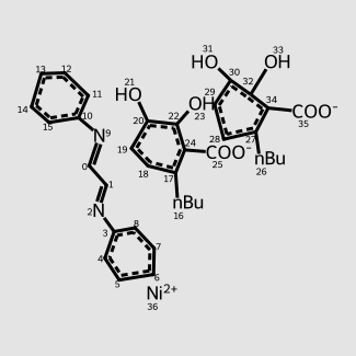 C(C=Nc1ccccc1)=Nc1ccccc1.CCCCc1ccc(O)c(O)c1C(=O)[O-].CCCCc1ccc(O)c(O)c1C(=O)[O-].[Ni+2]